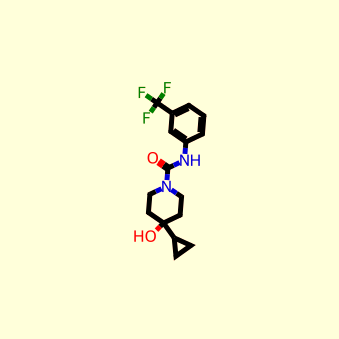 O=C(Nc1cccc(C(F)(F)F)c1)N1CCC(O)(C2CC2)CC1